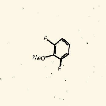 COc1c(F)c[c]cc1F